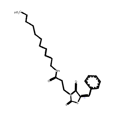 O=C(O)CCCCCCCCCCNC(=O)CCN1C(=O)/C(=C\c2ccccc2)SC1=S